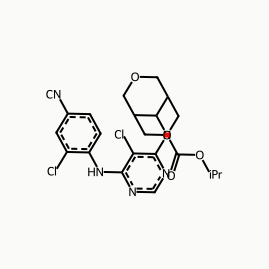 [C-]#[N+]c1ccc(Nc2ncnc(OC3C4COCC3CN(C(=O)OC(C)C)C4)c2Cl)c(Cl)c1